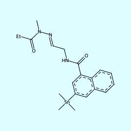 CCC(=O)N(C)N=CCNC(=O)c1c[c]([Sn]([CH3])([CH3])[CH3])cc2ccccc12